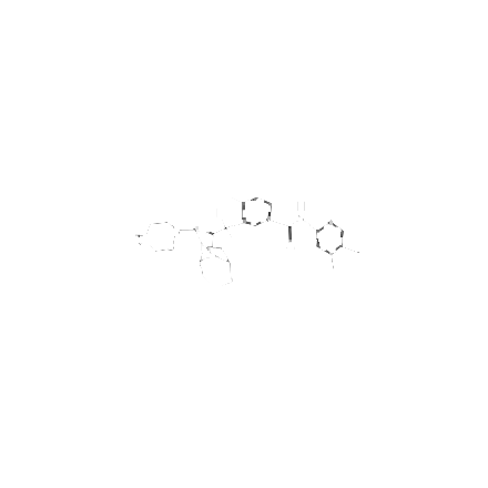 Cc1cc(NC(=O)c2ccc(F)c(C(F)(F)C(=O)N3C4COCC3N(C(=O)N3CCS(=O)(=O)CC3)C4)c2)ccc1F